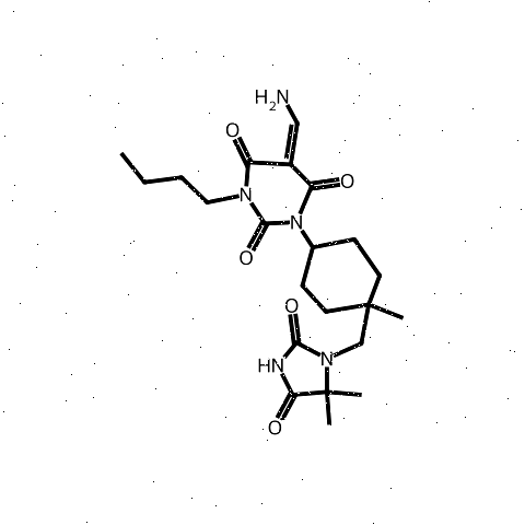 CCCCN1C(=O)/C(=C\N)C(=O)N(C2CCC(C)(CN3C(=O)NC(=O)C3(C)C)CC2)C1=O